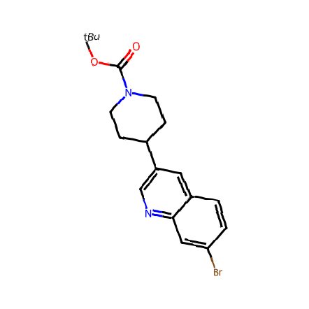 CC(C)(C)OC(=O)N1CCC(c2cnc3cc(Br)ccc3c2)CC1